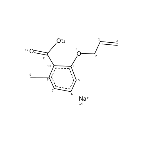 C=CCOc1cccc(C)c1C(=O)[O-].[Na+]